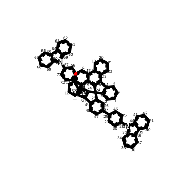 c1ccc2c(c1)-c1c(c3c4ccccc4ccc3c3ccccc13)C21c2cc(-c3ccc(-n4c5ccccc5c5ccccc54)cc3)ccc2-c2ccc(-c3ccc(-n4c5ccccc5c5ccccc54)cc3)cc21